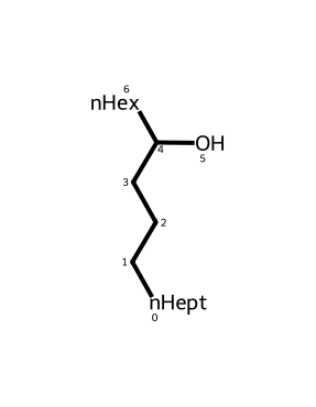 CCCCCCCCCCC(O)CCCCCC